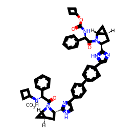 O=C(N[C@@H](C(=O)N1[C@@H]2C[C@H]2C[C@H]1c1ncc(-c2ccc(-c3ccc(-c4c[nH]c([C@@H]5C[C@H]6C[C@H]6N5C(=O)[C@@H](c5ccccc5)N(C(=O)O)C5CCC5)n4)cc3)cc2)[nH]1)c1ccccc1)OC1CCC1